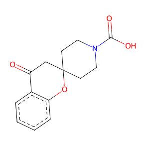 O=C1CC2(CCN(C(=O)O)CC2)Oc2ccccc21